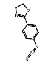 [N-]=[N+]=Nc1ccc(C2=NCCO2)cc1